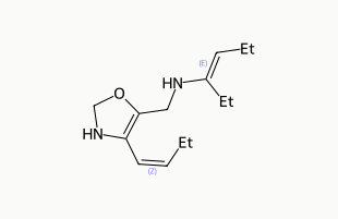 CC/C=C\C1=C(CN/C(=C/CC)CC)OCN1